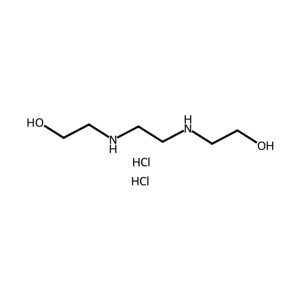 Cl.Cl.OCCNCCNCCO